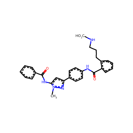 Cn1nc(-c2ccc(NC(=O)c3ccccc3CCCNC(=O)O)cc2)cc1NC(=O)c1ccccc1